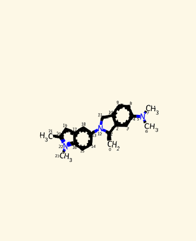 C=C1c2cc(N(C)C)ccc2CN1c1ccc2c(c1)cc(C)n2C